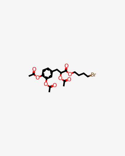 CC(=O)Oc1ccc(CC(OC(C)=O)C(=O)OCCCCBr)cc1OC(C)=O